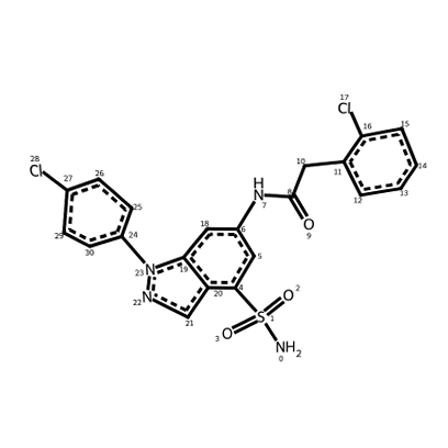 NS(=O)(=O)c1cc(NC(=O)Cc2ccccc2Cl)cc2c1cnn2-c1ccc(Cl)cc1